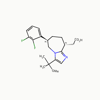 COC(C)(C)c1cnc2n1C[C@@H](c1cccc(F)c1F)CC[C@@H]2CC(=O)O